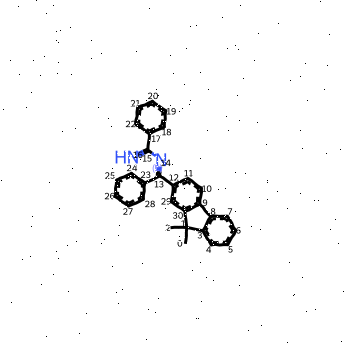 CC1(C)c2ccccc2-c2ccc(/C(=N/C(=N)c3ccccc3)c3ccccc3)cc21